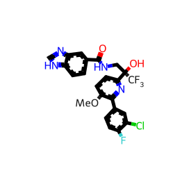 COc1ccc(C(O)(CNC(=O)c2ccc3[nH]cnc3c2)C(F)(F)F)nc1-c1ccc(F)c(Cl)c1